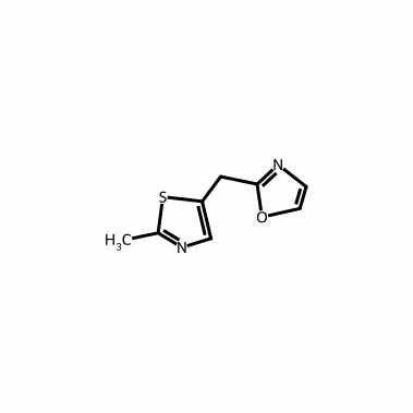 Cc1ncc(Cc2ncco2)s1